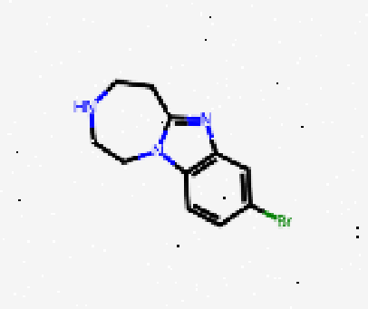 Brc1ccc2c(c1)nc1n2CCNCC1